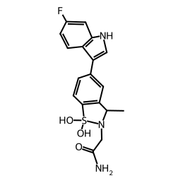 CC1c2cc(-c3c[nH]c4cc(F)ccc34)ccc2S(O)(O)N1CC(N)=O